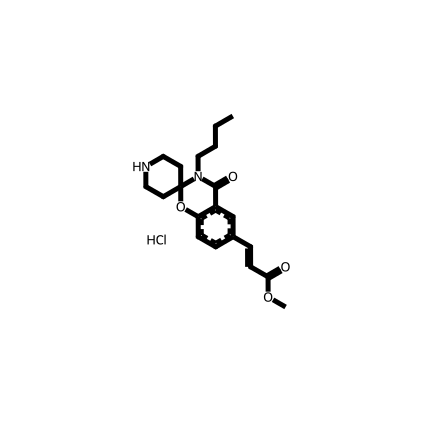 CCCCN1C(=O)c2cc(C=CC(=O)OC)ccc2OC12CCNCC2.Cl